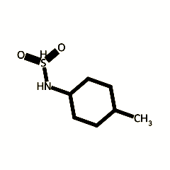 CC1CCC(N[SH](=O)=O)CC1